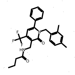 CCCC(=O)NCc1c(C(F)(F)F)cc(-c2ccccc2)n(Cc2ccc(C)cc2C)c1=O